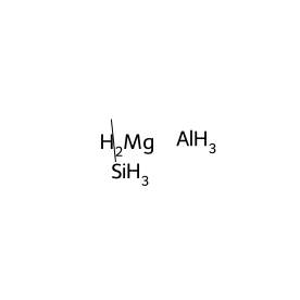 C[SiH3].[AlH3].[MgH2]